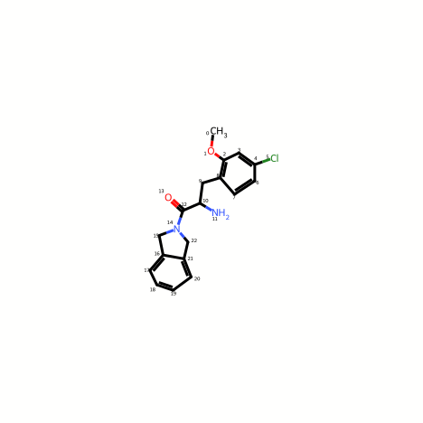 COc1cc(Cl)ccc1CC(N)C(=O)N1Cc2ccccc2C1